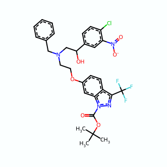 CC(C)(C)OC(=O)n1nc(C(F)(F)F)c2ccc(OCCN(Cc3ccccc3)CC(O)c3ccc(Cl)c([N+](=O)[O-])c3)cc21